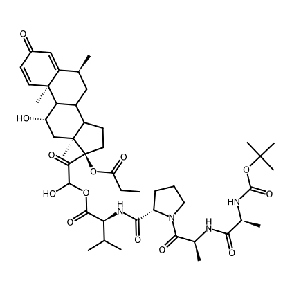 CCC(=O)O[C@]1(C(=O)C(O)OC(=O)[C@@H](NC(=O)[C@@H]2CCCN2C(=O)[C@H](C)NC(=O)[C@H](C)NC(=O)OC(C)(C)C)C(C)C)CCC2C3C[C@H](C)C4=CC(=O)C=C[C@]4(C)C3[C@@H](O)C[C@@]21C